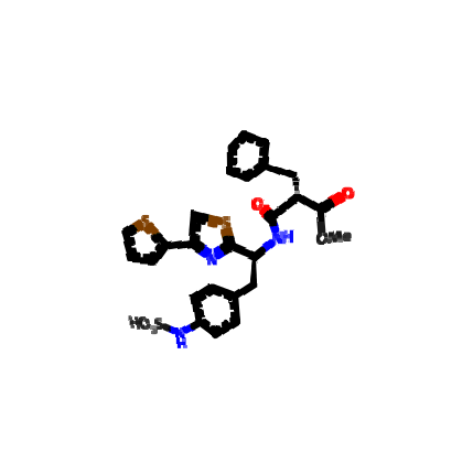 COC(=O)[C@@H](Cc1ccccc1)C(=O)N[C@@H](Cc1ccc(NS(=O)(=O)O)cc1)c1nc(-c2cccs2)cs1